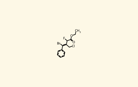 CCOC(=O)C(F)C(CCl)=C(Br)c1ccccc1